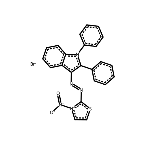 O=[N+]([O-])[n+]1ccsc1N=Nc1c(-c2ccccc2)n(-c2ccccc2)c2ccccc12.[Br-]